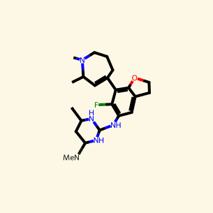 CNC1CC(C)NC(Nc2cc3c(c(C4=CC(C)N(C)CCC4)c2F)OCC3)N1